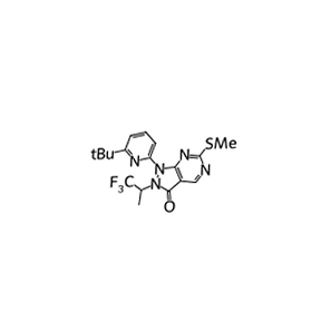 CSc1ncc2c(=O)n(C(C)C(F)(F)F)n(-c3cccc(C(C)(C)C)n3)c2n1